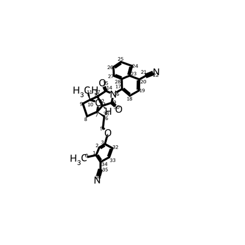 Cc1cc(OCC[C@@]23CC[C@@](C)(O2)[C@H]2C(=O)N(c4ccc(C#N)c5ccccc45)C(=O)[C@H]23)ccc1C#N